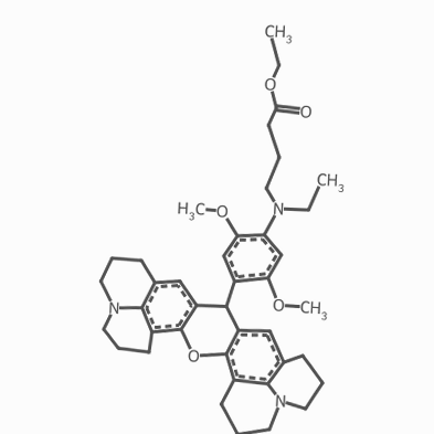 CCOC(=O)CCCN(CC)c1cc(OC)c(C2c3cc4c5c(c3Oc3c2cc2c6c3CCCN6CCC2)CCCN5CCC4)cc1OC